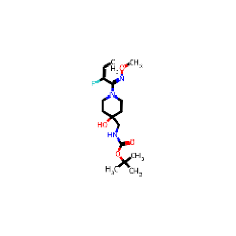 C/C=C(F)\C(=N/OC)N1CCC(O)(CNC(=O)OC(C)(C)C)CC1